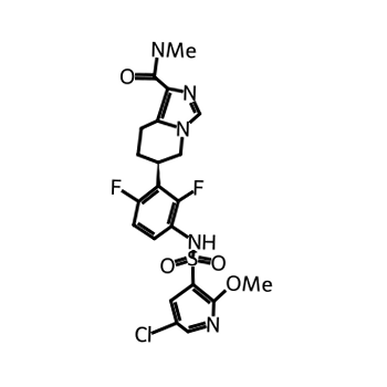 CNC(=O)c1ncn2c1CC[C@H](c1c(F)ccc(NS(=O)(=O)c3cc(Cl)cnc3OC)c1F)C2